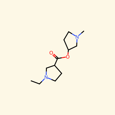 CCN1CCC(C(=O)OC2CCN(C)C2)C1